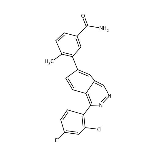 Cc1ccc(C(N)=O)cc1-c1ccc2c(-c3ccc(F)cc3Cl)nncc2c1